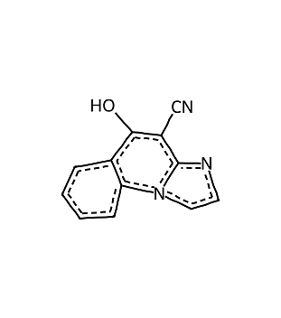 N#Cc1c(O)c2ccccc2n2ccnc12